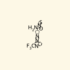 N[C@H](C(=O)N1CCSC1)C1CCC(N2CCN(c3cc(C(F)(F)F)nc4ccccc34)CC2)CC1